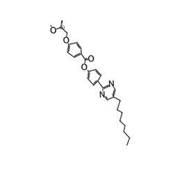 CCCCCCCCc1cnc(-c2ccc(OC(=O)c3ccc(OC[C@H](C)OC)cc3)cc2)nc1